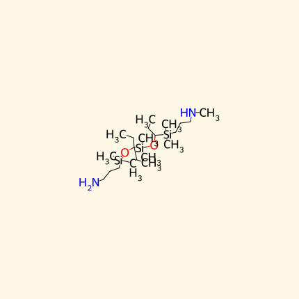 CCC(O[Si](C)(C)C(CC)(CC)O[Si](C)(C)CCCN)[Si](C)(C)CCCNC